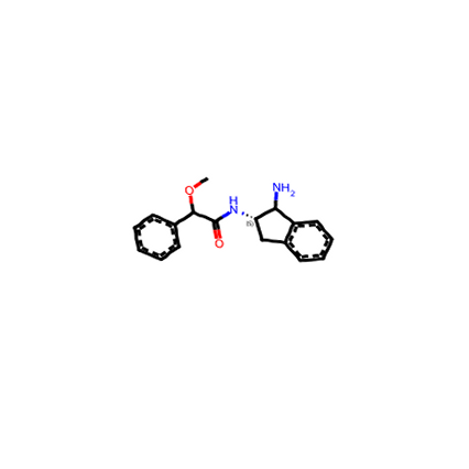 COC(C(=O)N[C@H]1Cc2ccccc2C1N)c1ccccc1